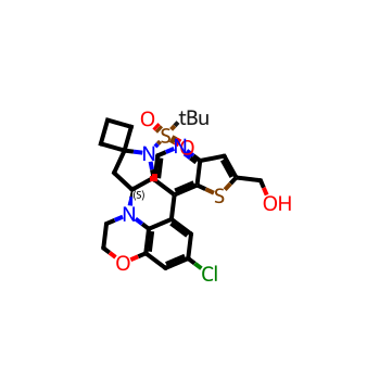 CC(C)(C)S(=O)(=O)N1C[C@@H](N2CCOc3cc(Cl)cc(-c4ccnc5cc(CO)sc45)c32)CC12CCC2